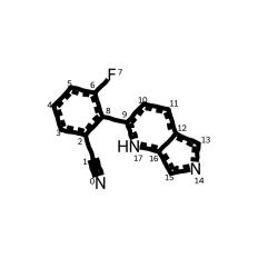 N#Cc1cccc(F)c1-c1ccc2cncc-2[nH]1